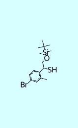 Cc1cc(Br)ccc1C(S)CO[Si](C)(C)C(C)(C)C